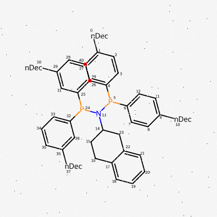 CCCCCCCCCCc1ccc(P(c2ccc(CCCCCCCCCC)cc2)N(C2CCc3ccccc3C2)P(c2cccc(CCCCCCCCCC)c2)c2cccc(CCCCCCCCCC)c2)cc1